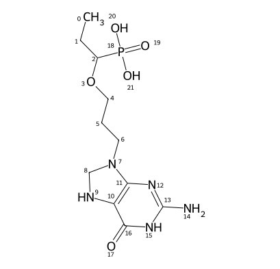 CCC(OCCCN1CNc2c1nc(N)[nH]c2=O)P(=O)(O)O